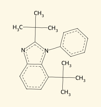 CC(C)(C)c1cccc2nc(C(C)(C)C)n(-c3ccccc3)c12